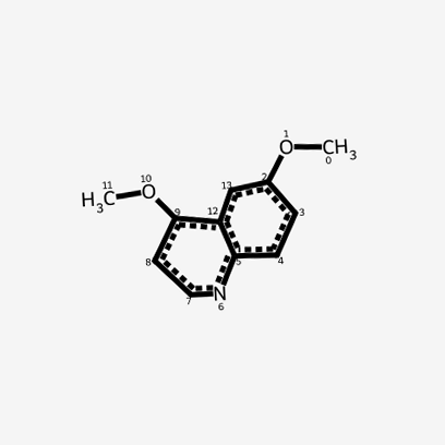 COc1ccc2nccc(OC)c2c1